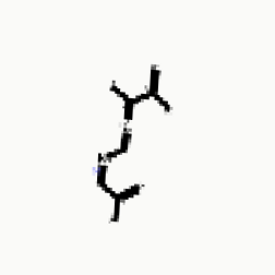 C=C(C)/C=N\C=C=C(C)C(=C)C